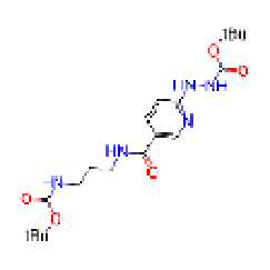 CC(C)(C)OC(=O)NCCCNC(=O)c1ccc(NNC(=O)OC(C)(C)C)nc1